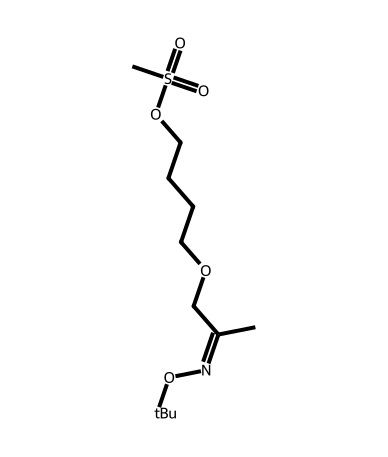 CC(COCCCCOS(C)(=O)=O)=NOC(C)(C)C